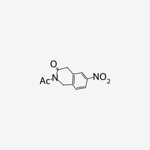 CC(=O)N1Cc2ccc([N+](=O)[O-])cc2CC1=O